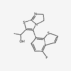 CC(O)C1=C(c2ccc(F)c3ccsc23)N2CCN=C2S1